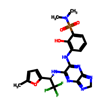 Cc1ccc([C@H](Nc2nc3c(nc2Nc2cccc(S(=O)(=O)N(C)C)c2O)=NCN=3)C(F)(F)F)o1